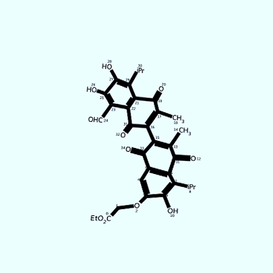 CCOC(=O)COc1cc2c(c(C(C)C)c1O)C(=O)C(C)=C(C1=C(C)C(=O)c3c(c(C=O)c(O)c(O)c3C(C)C)C1=O)C2=O